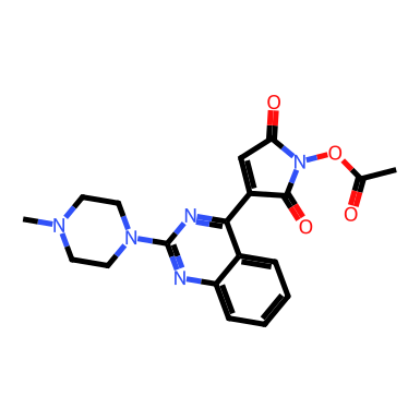 CC(=O)ON1C(=O)C=C(c2nc(N3CCN(C)CC3)nc3ccccc23)C1=O